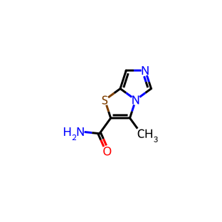 Cc1c(C(N)=O)sc2cncn12